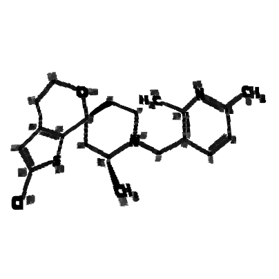 Cc1ccc(CN2CC[C@]3(C[C@@H]2C)OCCc2cc(Cl)sc23)c(C)n1